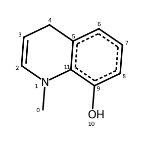 CN1C=CCc2cccc(O)c21